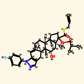 C#CCSC(=O)[C@@]1(OC(=O)C(C)C)CC[C@H]2[C@@H]3CCC4=Cc5c(cnn5-c5ccc(F)cc5)C[C@]4(C)[C@H]3[C@@H](O)C[C@@]21C